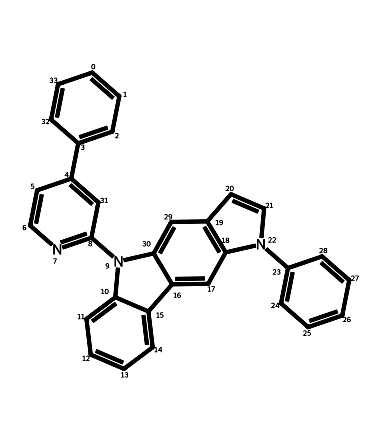 c1ccc(-c2ccnc(-n3c4ccccc4c4cc5c(ccn5-c5ccccc5)cc43)c2)cc1